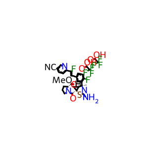 COC(=O)[C@H]1CCCN1C(=O)[C@]12C[C@H]1[C@@](C)(c1cc(/C=C(\F)c3ccc(C#N)cn3)ccc1F)N=C(N)S2.O=C(O)C(F)(F)F.O=C(O)C(F)(F)F